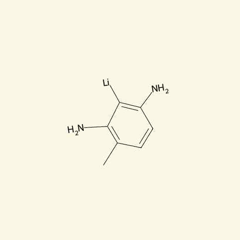 [Li][c]1c(N)ccc(C)c1N